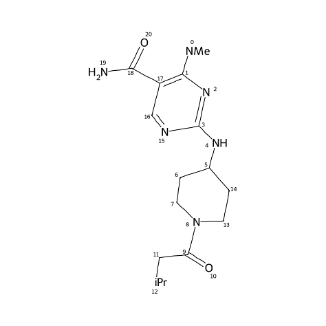 CNc1nc(NC2CCN(C(=O)CC(C)C)CC2)ncc1C(N)=O